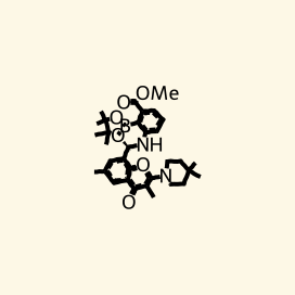 COC(=O)c1cccc(N[C@H](C)c2cc(C)cc3c(=O)c(C)c(N4CCC(C)(C)CC4)oc23)c1B1OC(C)(C)C(C)(C)O1